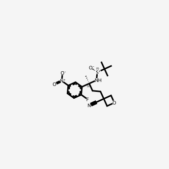 CC(C)(C)[S@@+]([O-])N[C@@](C)(CCC1(C#N)COC1)c1cc([N+](=O)[O-])ccc1F